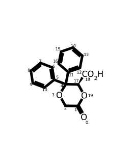 O=C1COC(c2ccccc2)(c2ccccc2)[C@@H](C(=O)O)O1